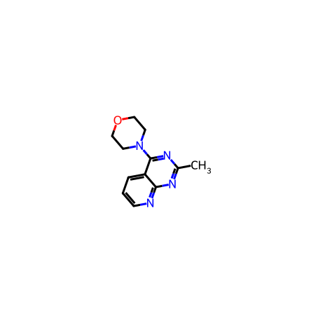 Cc1nc(N2CCOCC2)c2cccnc2n1